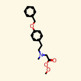 COOC(=O)CN(C)CCc1ccc(OCc2ccccc2)cc1